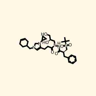 CC(C)(C)S(=O)(=O)C[C@@H](Cc1ccccc1)C(=O)NN(C[C@@H](O)CO)C(=O)CCC1=CN(CC2CC=CCC2)CN1C1CC1